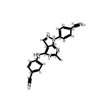 Cc1nc(Nc2ccc(C#N)cc2)c2cnn(-c3ccc(C#N)cc3)c2n1